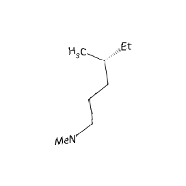 CC[C@@H](C)CCCNC